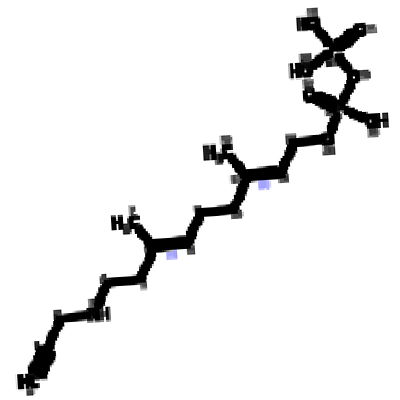 C#CCNCC/C(C)=C/CC/C(C)=C/COP(=O)(O)OP(=O)(O)O